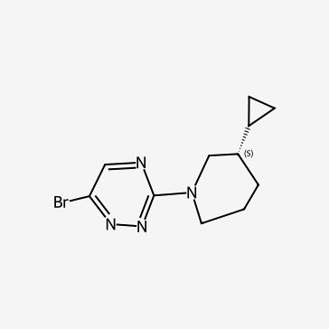 Brc1cnc(N2CCC[C@@H](C3CC3)C2)nn1